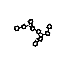 c1ccc(-c2ccc(-n3c4ccccc4c4cc(-c5ccc6c(c5)-c5c(ccc7c5oc5ccccc57)C6c5cccc(-c6ccccc6)c5)ccc43)cc2)cc1